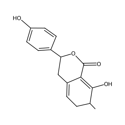 CC1CC=C2CC(c3ccc(O)cc3)OC(=O)C2=C1O